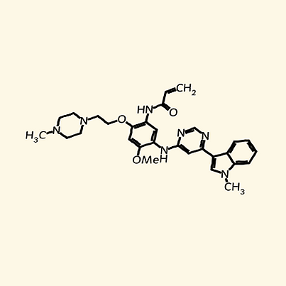 C=CC(=O)Nc1cc(Nc2cc(-c3cn(C)c4ccccc34)ncn2)c(OC)cc1OCCN1CCN(C)CC1